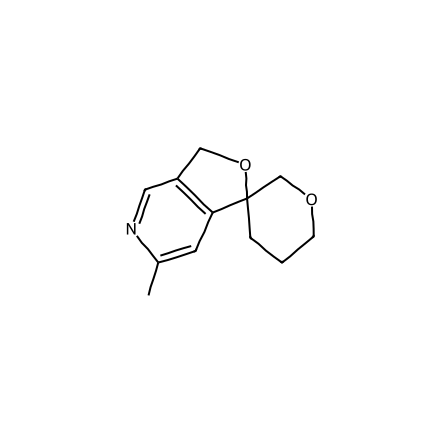 Cc1cc2c(cn1)COC21CCCOC1